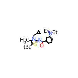 CCN(CC)c1cccc(C(=O)/N=c2\sc(C(C)(C)C)c(C)n2CC2CC2)c1